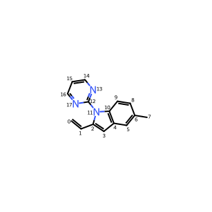 C=Cc1cc2cc(C)ccc2n1-c1ncccn1